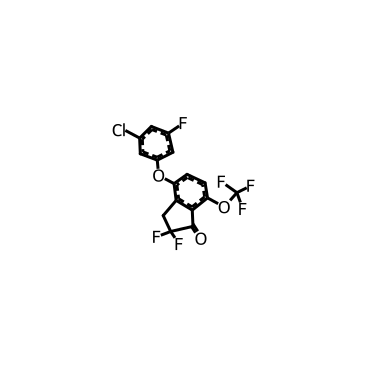 O=C1c2c(OC(F)(F)F)ccc(Oc3cc(F)cc(Cl)c3)c2CC1(F)F